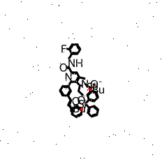 CC(C)(C)[S+]([O-])N1Cc2cc(C(=O)NCc3ccccc3F)nc(-c3cccc(-c4cc5ccccc5o4)c3)c2C1CCO[Si](c1ccccc1)(c1ccccc1)C(C)(C)C